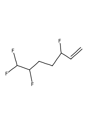 C=CC(F)CCC(F)C(F)F